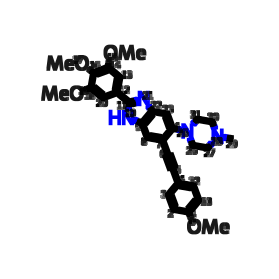 COc1ccc(C#Cc2cc3[nH]c(-c4cc(OC)c(OC)c(OC)c4)nc3cc2N2CCN(C)CC2)cc1